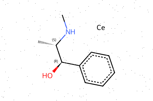 CN[C@@H](C)[C@H](O)c1ccccc1.[Ce]